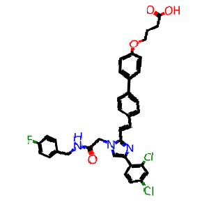 O=C(O)CCCOc1ccc(-c2ccc(/C=C/c3nc(-c4ccc(Cl)cc4Cl)cn3CC(=O)NCc3ccc(F)cc3)cc2)cc1